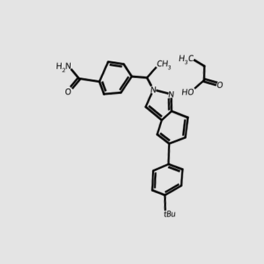 CC(c1ccc(C(N)=O)cc1)n1cc2cc(-c3ccc(C(C)(C)C)cc3)ccc2n1.CCC(=O)O